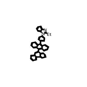 CCc1nc2ccccc2n1-c1ccc(-c2c3ccccc3c(-c3cc4ccccc4c4ccccc34)c3ccccc23)cc1